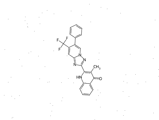 Cc1c(-c2nc3cc(C(F)(F)F)c(-c4ccccc4)cn3n2)[nH]c2ccccc2c1=O